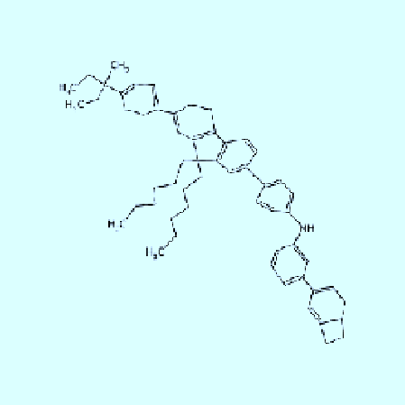 CCCCCCC1(CCCCCC)C2=C(CCC(C3=CC=C(C(C)(CC)CC)CC3)=C2)c2ccc(-c3ccc(Nc4cccc(C5=CCC6CCC6=C5)c4)cc3)cc21